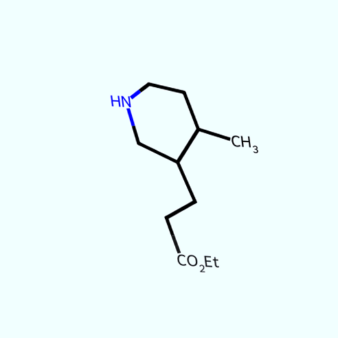 CCOC(=O)CCC1CNCCC1C